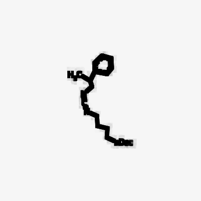 CCCCCCCCCCCCCCN=C=NCC(C)c1ccccc1